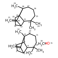 C=C1C2CCC3C2C(C)(C)CCCC13C.C=C1C2CCC3C2C(C)(C)CCCC13C.C=O